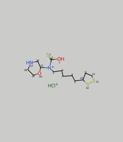 Cl.OC(=S)N(CCCCCC1CCSS1)C1CNCCO1